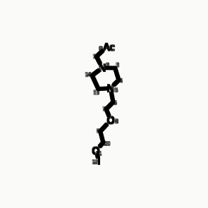 CC(=O)CN1CCN(CCOCCOI)CC1